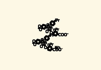 CCCc1cc(C(=O)[O-])ccc1OCC(=O)N(c1ccc2c(c1)OCO2)S(=O)(=O)c1ccc(C(C)C)cc1.CCCc1cc(C(=O)[O-])ccc1OCC(=O)N(c1ccc2c(c1)OCO2)S(=O)(=O)c1ccc(C(C)C)cc1.[K+].[K+]